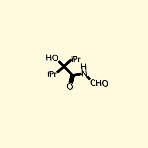 CC(C)C(O)(C(=O)NC=O)C(C)C